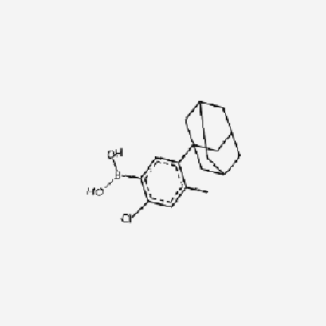 Cc1cc(Cl)c(B(O)O)cc1C12CC3CC(CC(C3)C1)C2